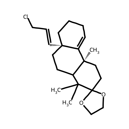 CC1(C)C2CC[C@@]3(/C=C/CCl)CCCC=C3[C@@]2(C)CCC12OCCO2